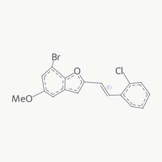 COc1cc(Br)c2oc(/C=C/c3ccccc3Cl)cc2c1